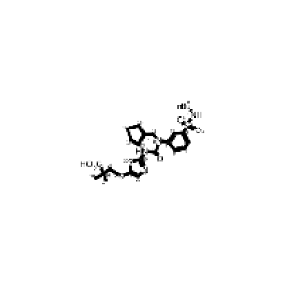 CCCCNS(=O)(=O)c1cccc(N(CC2CCCC2)C(=O)Nc2ncc(SCC(C)(C)C(=O)O)s2)c1